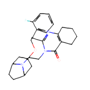 Cc1nc2c(c(=O)n1CCN1C3CCC1CC(OCc1ccccc1F)C3)CCCC2